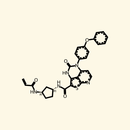 C=CC(=O)N[C@@H]1CC[C@@H](NC(=O)c2sc3nccc4c3c2NC(=O)N4c2ccc(Oc3ccccc3)cc2)C1